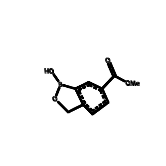 COC(=O)c1ccc2c(c1)B(O)OC2